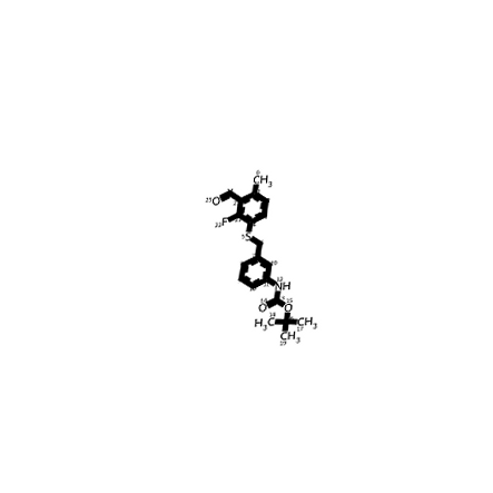 Cc1ccc(SCc2cccc(NC(=O)OC(C)(C)C)c2)c(F)c1C=O